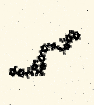 Cc1nccn1-c1ccc([C@H](C)NC(=O)[C@@H]2C[C@@H](O)CN2C(=O)C(c2cc(N3CCC(CN4CCC(O[C@H]5C[C@H](C#C[C@@H](C)n6cc(-c7cc(-c8ccccc8O)nnc7N)cn6)C5)CC4)CC3)no2)C(C)C)cc1